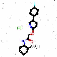 Cl.O=C(COc1ccc(-c2ccc(F)cc2)cn1)Nc1ccccc1C(=O)O